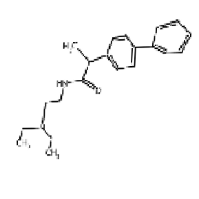 CCN(CC)CCNC(=O)C(C)c1ccc(-c2ccccc2)cc1